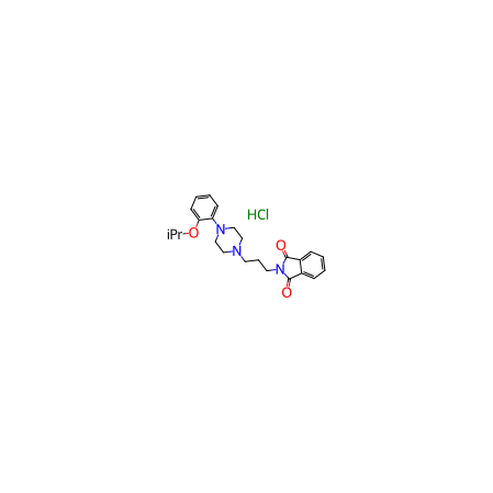 CC(C)Oc1ccccc1N1CCN(CCCN2C(=O)c3ccccc3C2=O)CC1.Cl